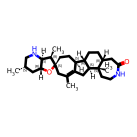 CC1=C2C[C@H]3[C@@H](CC[C@@H]4CC(=O)NCC[C@@]43C)[C@@H]2CC[C@@]2(C1)O[C@@H]1C[C@H](C)CN[C@H]1[C@H]2C